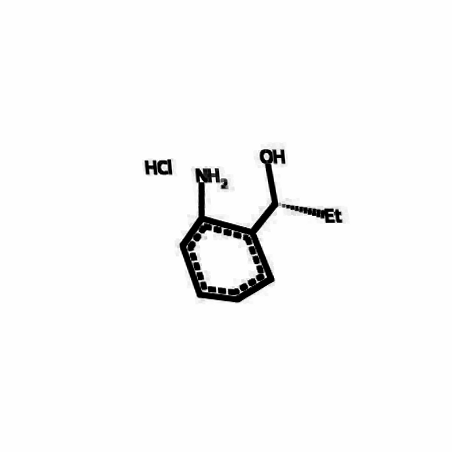 CC[C@@H](O)c1ccccc1N.Cl